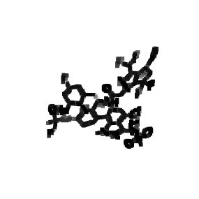 C#C[C@H]1CC(F)(F)c2c1c(C(F)F)nn2CC(=O)N[C@@H](Cc1cc(F)cc(F)c1)c1nc(C#CC(C)(O)CF)ccc1-c1ccc(Cl)c2c(NS(C)(=O)=O)nn(C)c12